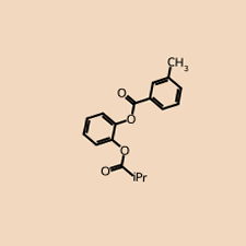 Cc1cccc(C(=O)Oc2ccccc2OC(=O)C(C)C)c1